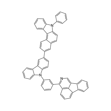 c1ccc(-n2c3ccccc3c3c4ccc(-c5ccc6c(c5)c5ccccc5n6-c5cccc(-c6ncc7c8c(cccc68)-c6ccccc6-7)c5)cc4ccc32)cc1